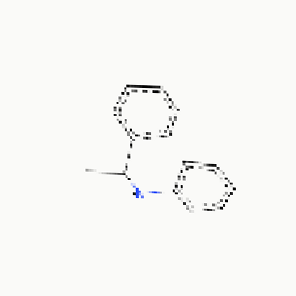 CC([N]c1ccccc1)c1ccccc1